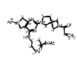 C=CC(=O)N1CC2(CCN(c3nc4c(c(N[C@H](CC(=O)NC)CC(C)C)n3)CN(C(C)=O)C4)C2)C1